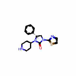 O=C1N(c2nccs2)C[C@@H](c2ccccc2)N1C1CCNCC1